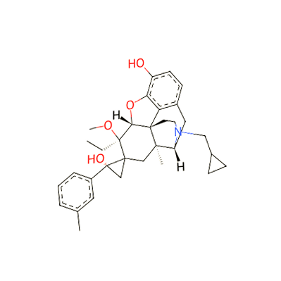 CC[C@]1(OC)[C@@H]2Oc3c(O)ccc4c3[C@@]23CCN(CC2CC2)[C@H](C4)[C@@]3(C)CC12C[C@@]2(O)c1cccc(C)c1